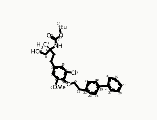 COc1cc(CC[C@](C)(CO)NC(=O)OC(C)(C)C)cc(Cl)c1OCCc1ccc(-c2ccccc2)cc1